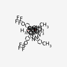 Cc1ccc2c(c1)/C1=N/c3c4ccc(C)cc4c4n3[Si](O[Si](C)(C)C)(O[Si](C)(C)C)n3/c(c5ccc(OCC(F)(F)C(F)F)cc5/c3=N/C2=N1)=N\C1=NC(=N\4)/c2ccc(OCC(F)(F)C(F)F)cc21